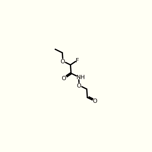 CCOC(F)C(=O)NOCC=O